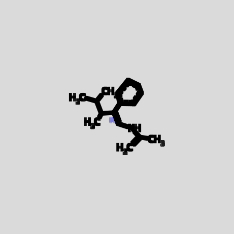 C=C(C)N/C=C(\c1ccccc1)C(C)C(C)C